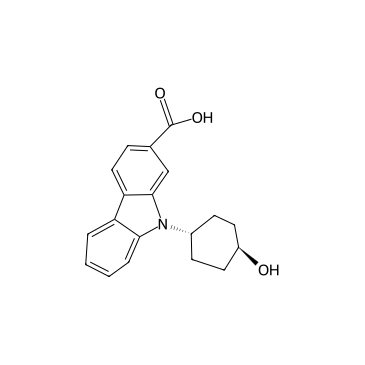 O=C(O)c1ccc2c3ccccc3n([C@H]3CC[C@H](O)CC3)c2c1